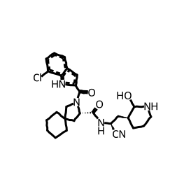 N#C[C@H](C[C@@H]1CCCNC1O)NC(=O)[C@@H]1CC2(CCCCC2)CN1C(=O)c1cc2cccc(Cl)c2[nH]1